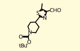 Cc1sc(C2CCN(C(=O)OC(C)(C)C)CC2)nc1C=O